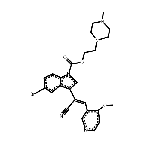 COc1ccncc1/C=C(\C#N)c1cn(C(=O)OCCN2CCN(C)CC2)c2ccc(Br)cc12